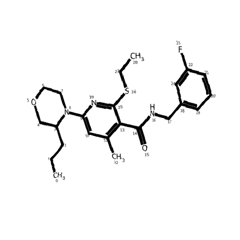 CCCC1COCCN1c1cc(C)c(C(=O)NCc2cccc(F)c2)c(SCC)n1